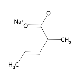 CC=CC(C)C(=O)[O-].[Na+]